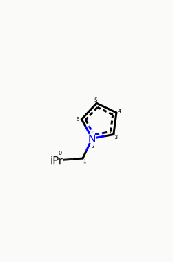 CC(C)Cn1cccc1